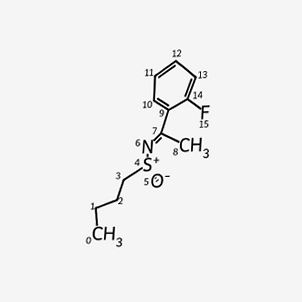 CCCC[S@@+]([O-])/N=C(\C)c1ccccc1F